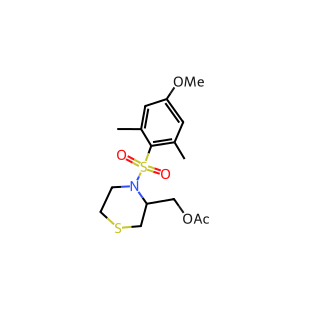 COc1cc(C)c(S(=O)(=O)N2CCSCC2COC(C)=O)c(C)c1